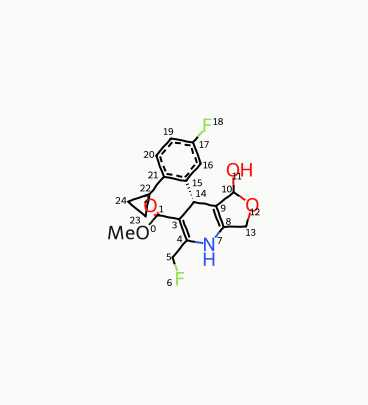 COC(=O)C1=C(CF)NC2=C(C(O)OC2)[C@H]1c1cc(F)ccc1C1CC1